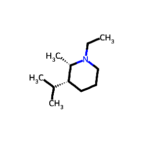 CCN1CCC[C@H](C(C)C)[C@@H]1C